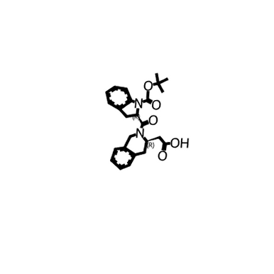 CC(C)(C)OC(=O)N1c2ccccc2C[C@@H]1C(=O)N1Cc2ccccc2C[C@@H]1CC(=O)O